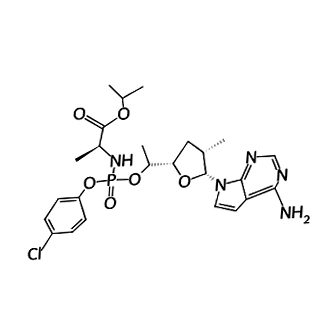 CC(C)OC(=O)[C@H](C)NP(=O)(Oc1ccc(Cl)cc1)OC(C)[C@@H]1C[C@H](C)[C@H](n2ccc3c(N)ncnc32)O1